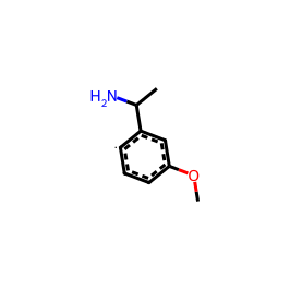 COc1cc[c]c(C(C)N)c1